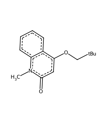 Cn1c(=O)cc(OCC(C)(C)C)c2ccccc21